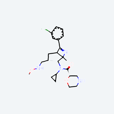 CONCCCC1C(c2cccc(Cl)c2)=NC1(C)[C@@H](C)N(C(=O)[C@H]1CNCCO1)C1CC1